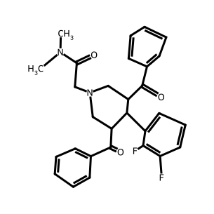 CN(C)C(=O)CN1CC(C(=O)c2ccccc2)C(c2cccc(F)c2F)C(C(=O)c2ccccc2)C1